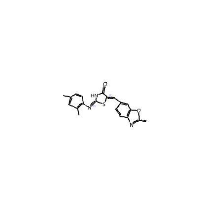 Cc1ccc(/N=C2\NC(=O)/C(=C/c3ccc4nc(C)oc4c3)S2)c(C)c1